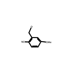 COc1ccc(C#N)c(C[O])c1